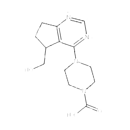 CC(=O)N1CCN(c2ncnc3c2C(CO)CC3)CC1